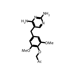 COc1cc(Cc2cnc(N)nc2N)cc(OC)c1OCC(C)=O